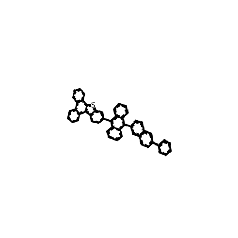 c1ccc(-c2ccc3cc(-c4c5ccccc5c(-c5ccc6c(c5)sc5c7ccccc7c7ccccc7c65)c5ccccc45)ccc3c2)cc1